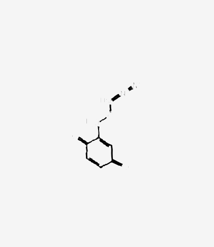 [N-]=[N+]=[SiH]O[SiH2]C1=CC(=O)C=CC1=O